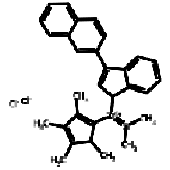 CC1=C(C)C(C)[C]([Zr+2]([CH]2C=C(c3ccc4ccccc4c3)c3ccccc32)=[Si](C)C)=C1C.[Cl-].[Cl-]